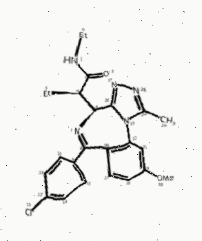 CCNC(=O)[C@H](CC)[C@@H]1N=C(c2ccc(Cl)cc2)c2ccc(OC)cc2-n2c(C)nnc21